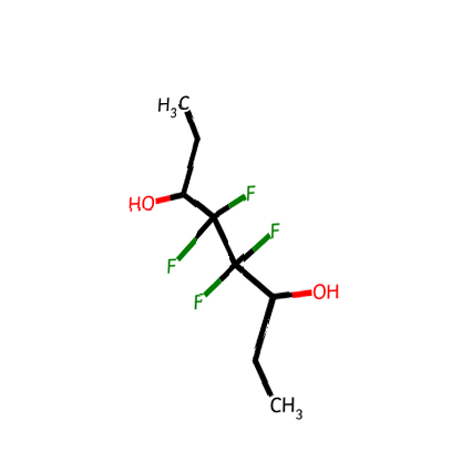 CCC(O)C(F)(F)C(F)(F)C(O)CC